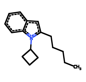 CCCCCc1cc2ccccc2n1C1CCC1